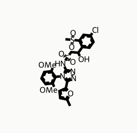 COc1cccc(OC)c1-n1c(NS(=O)(=O)CC(O)c2ccc(Cl)cc2S(C)(=O)=O)nnc1-c1ccc(C)o1